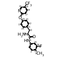 Cc1ccc(NC(=O)[C@@H](N)Cc2ccc(Oc3ccc(C(F)(F)F)cn3)cc2)cc1F